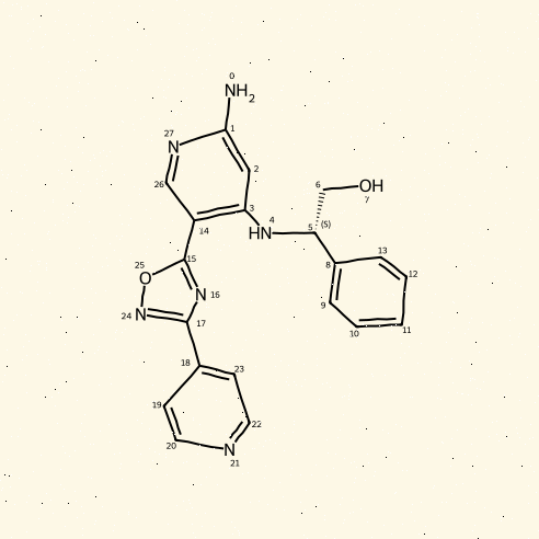 Nc1cc(N[C@H](CO)c2ccccc2)c(-c2nc(-c3ccncc3)no2)cn1